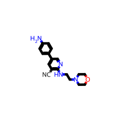 N#Cc1cc(-c2ccc(N)cc2)cnc1NCCN1CCOCC1